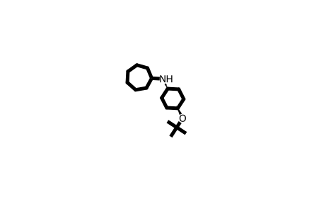 CC(C)(C)O[C@H]1CC[C@H](NC2CCCCCC2)CC1